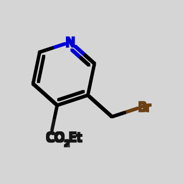 CCOC(=O)c1ccncc1CBr